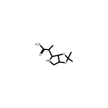 CC(C(N)=O)C1NCC2OC(C)(C)OC21